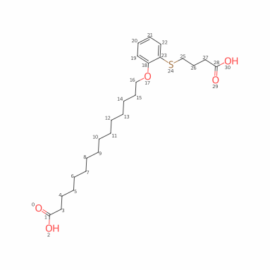 O=C(O)CCCCCCCCCCCCCCOc1ccccc1SCCCC(=O)O